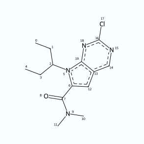 CCC(CC)n1c(C(=O)N(C)C)cc2cnc(Cl)nc21